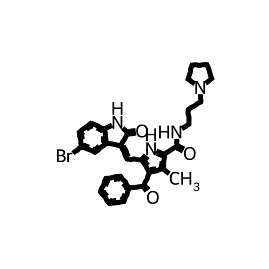 Cc1c(C(=O)NCCCN2CCCC2)[nH]c(C=C2C(=O)Nc3ccc(Br)cc32)c1C(=O)c1ccccc1